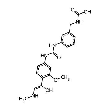 CN/C=C(\O)c1ccc(NC(=O)Nc2cccc(CNC(=O)O)c2)cc1OC